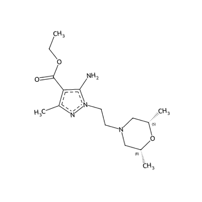 CCOC(=O)c1c(C)nn(CCN2C[C@@H](C)O[C@@H](C)C2)c1N